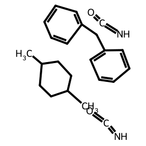 CC1CCC(C)CC1.N=C=O.N=C=O.c1ccc(Cc2ccccc2)cc1